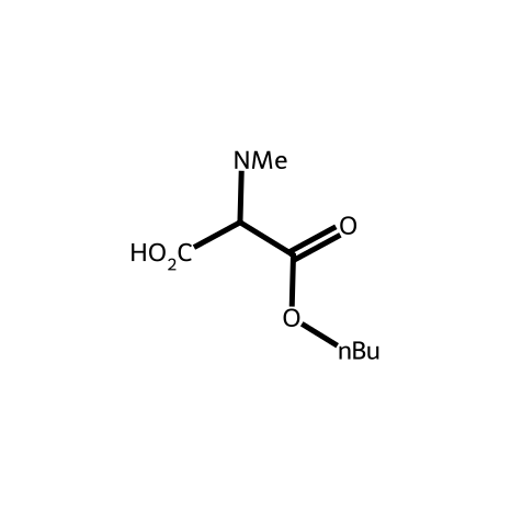 CCCCOC(=O)C(NC)C(=O)O